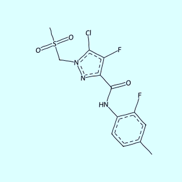 Cc1ccc(NC(=O)c2nn(CS(C)(=O)=O)c(Cl)c2F)c(F)c1